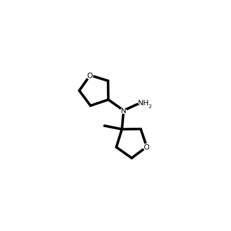 CC1(N(N)C2CCOC2)CCOC1